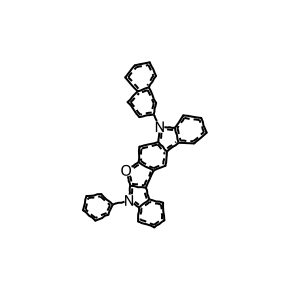 c1ccc(-n2c3ccccc3c3c4cc5c6ccccc6n(-c6ccc7ccccc7c6)c5cc4oc32)cc1